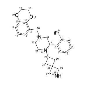 CC(C)c1ccccc1[C@H]1CN(Cc2cccc3c2OCCO3)CCN1C1CC2(CNC2)C1